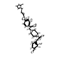 CC1CCCN1CCCOc1ccc(C(=O)CN2CCN(C(=O)c3ccc(Cl)cc3)CC2)cc1